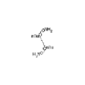 CCCCc1cc(Cc2ccc(N)cc2)ccc1CCCCCCCCc1ccc(Cc2ccc(N)cc2)cc1CCCC